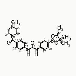 C=C1OB(c2ccc(NC(=O)Nc3ccc(C(=O)N4CCN(C)CC4)cc3)cc2)OC1(C)C